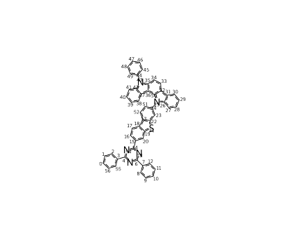 c1ccc(-c2nc(-c3ccccc3)nc(-c3ccc4c(c3)sc3cc(-n5c6ccccc6c6ccc7c(c8ccccc8n7-c7ccccc7)c65)ccc34)n2)cc1